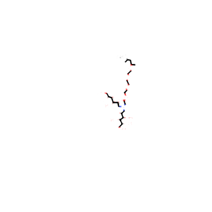 CC(C=O)CC(C)OCCOCCOCCOCCN(C[C@H](O)[C@@H](O)[C@H](O)[C@H](O)CO)C[C@H](O)[C@@H](O)[C@H](O)[C@H](O)CO